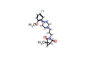 COc1ccc(F)cc1N1CCN(CCCN2C(=O)C3CC3(C)C2=O)CC1